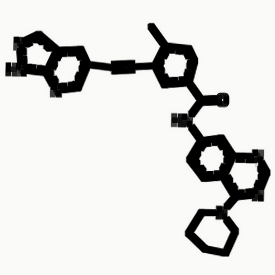 Cc1ccc(C(=O)Nc2ccc3c(N4CCCCC4)ncnc3c2)cc1C#Cc1cnc2[nH]ncc2c1